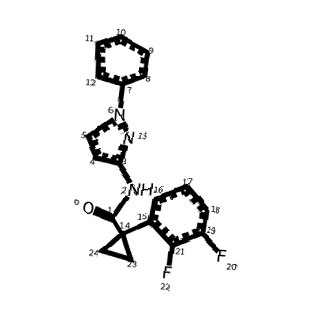 O=C(Nc1ccn(-c2ccccc2)n1)C1(c2cccc(F)c2F)CC1